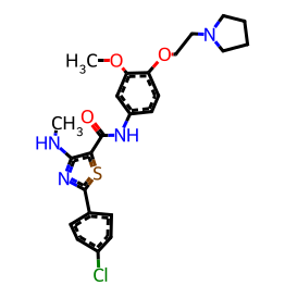 CNc1nc(-c2ccc(Cl)cc2)sc1C(=O)Nc1ccc(OCCN2CCCC2)c(OC)c1